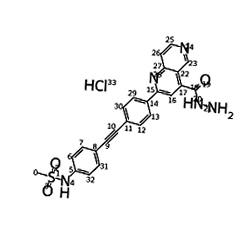 CS(=O)(=O)Nc1ccc(C#Cc2ccc(-c3cc(C(=O)NN)c4cnccc4n3)cc2)cc1.Cl